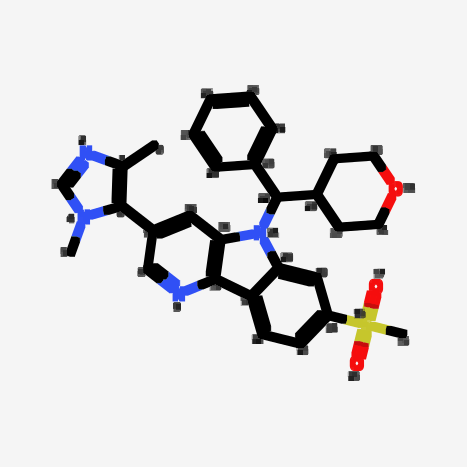 Cc1ncn(C)c1-c1cnc2c3ccc(S(C)(=O)=O)cc3n(C(c3ccccc3)C3CCOCC3)c2c1